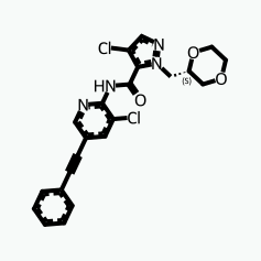 O=C(Nc1ncc(C#Cc2ccccc2)cc1Cl)c1c(Cl)cnn1C[C@H]1COCCO1